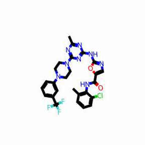 Cc1nc(Nc2ncc(C(=O)Nc3c(C)cccc3Cl)o2)nc(N2CCN(c3cccc(C(F)(F)F)c3)CC2)n1